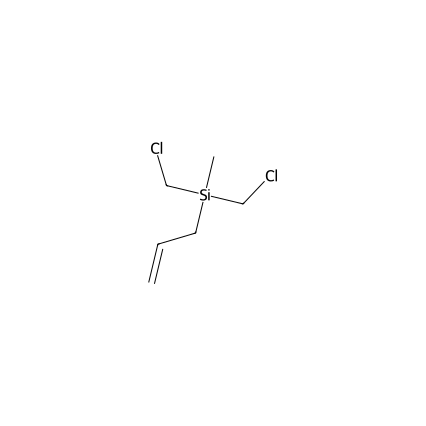 C=CC[Si](C)(CCl)CCl